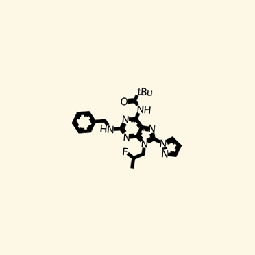 CC(F)Cn1c(-n2cccn2)nc2c(NC(=O)C(C)(C)C)nc(NCc3ccccc3)nc21